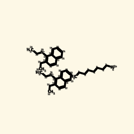 CCCCCCC[CH2][Al+2].CC[N-]c1c(CC)ccc2ccccc12.CC[N-]c1c(CC)ccc2ccccc12